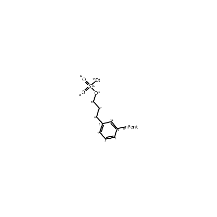 CCCCCc1cccc(CCCOS(=O)(=O)CC)c1